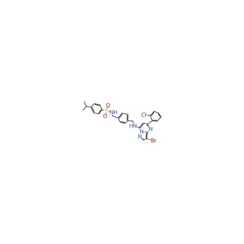 CC(C)c1ccc(S(=O)(=O)NCc2ccc(CNc3cc(-c4ccccc4Cl)nc4c(Br)cnn34)cc2)cc1